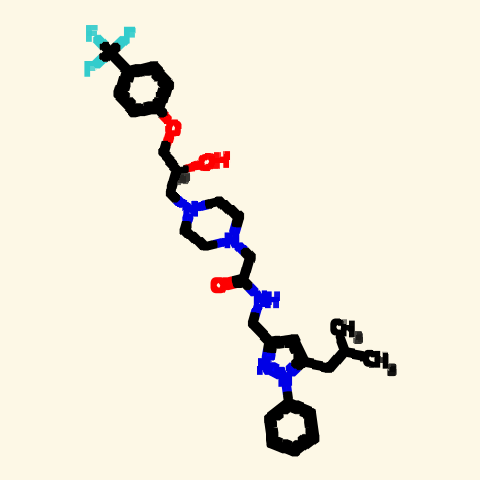 CC(C)Cc1cc(CNC(=O)CN2CCN(C[C@H](O)COc3ccc(C(F)(F)F)cc3)CC2)nn1-c1ccccc1